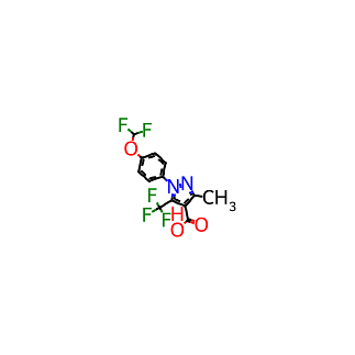 Cc1nn(-c2ccc(OC(F)F)cc2)c(C(F)(F)F)c1C(=O)O